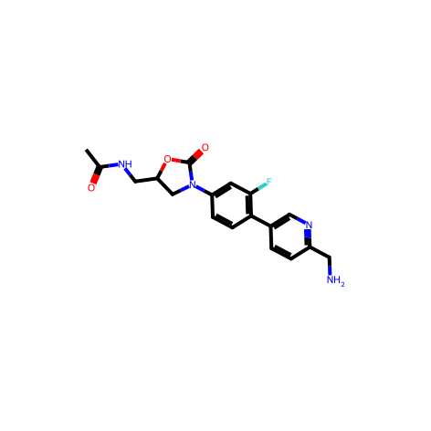 CC(=O)NCC1CN(c2ccc(-c3ccc(CN)nc3)c(F)c2)C(=O)O1